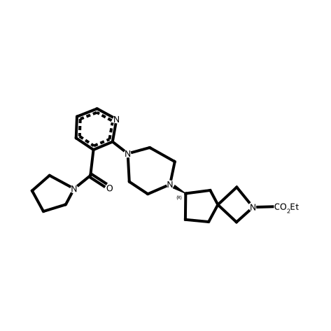 CCOC(=O)N1CC2(CC[C@@H](N3CCN(c4ncccc4C(=O)N4CCCC4)CC3)C2)C1